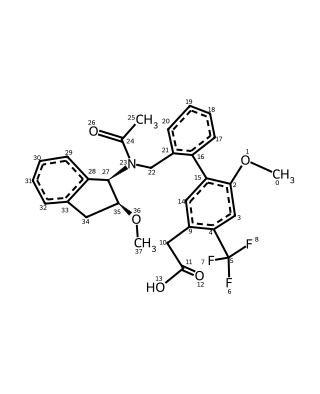 COc1cc(C(F)(F)F)c(CC(=O)O)cc1-c1ccccc1CN(C(C)=O)[C@@H]1c2ccccc2C[C@@H]1OC